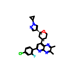 Cc1nc2nc(-c3ccc(Cl)cc3F)cc([C@@H]3CCO[C@@H](c4cnn(C5CC5)c4)C3)c2nc1C